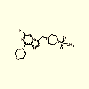 CS(=O)(=O)N1CCN(Cc2nnc3c(N4CCOCC4)nc(Br)cn23)CC1